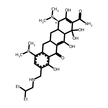 CCC(CC)CNCc1cc(N(C)C)c2c(c1O)C(=O)C1=C(O)C3C(CC1C2)[C@@H](N(C)C)C(O)=C(C(N)=O)C3(O)O